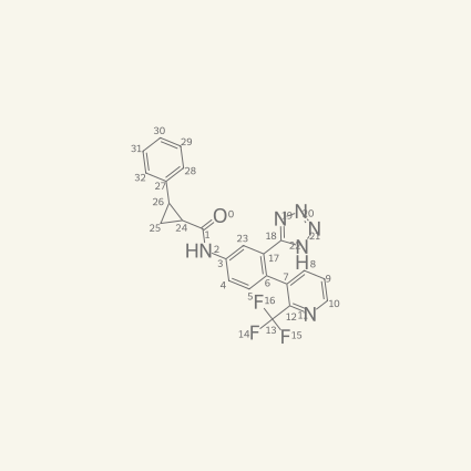 O=C(Nc1ccc(-c2cccnc2C(F)(F)F)c(-c2nnn[nH]2)c1)C1CC1c1ccccc1